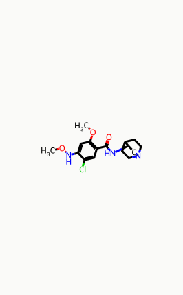 CONc1cc(OC)c(C(=O)NC2CN3CCC2CC3)cc1Cl